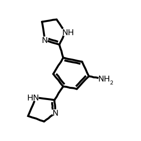 Nc1cc(C2=NCCN2)cc(C2=NCCN2)c1